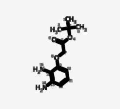 CC(C)(C)OC(=O)COc1cccc(N)c1N